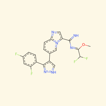 CO/C(=N\C(=N)c1cnc2ccc(-c3c[nH]nc3-c3ccc(F)cc3F)cn12)C(F)F